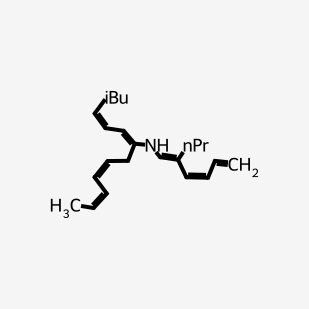 C=C/C=C\C(=C\N/C(=C/C=C\C(C)CC)C/C=C\C=C/C)CCC